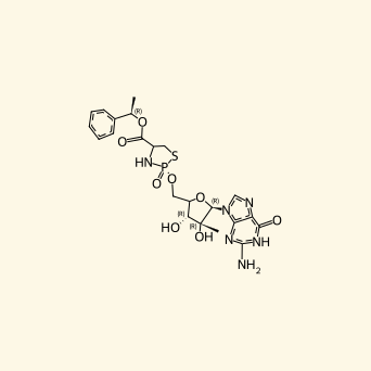 C[C@@H](OC(=O)C1CSP(=O)(OCC2O[C@@H](n3cnc4c(=O)[nH]c(N)nc43)[C@](C)(O)[C@@H]2O)N1)c1ccccc1